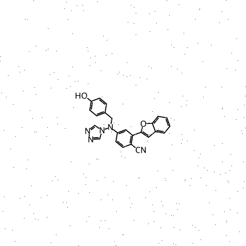 N#Cc1ccc(N(Cc2ccc(O)cc2)n2cnnc2)cc1-c1cc2ccccc2o1